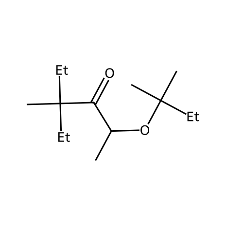 CCC(C)(C)OC(C)C(=O)C(C)(CC)CC